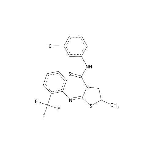 CC1CN(C(=S)Nc2cccc(Cl)c2)/C(=N\c2ccccc2C(F)(F)F)S1